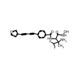 CC(N)(C(F)F)C(NC(=O)c1ccc(C#CC#Cc2ccoc2)cc1)C(=O)NO